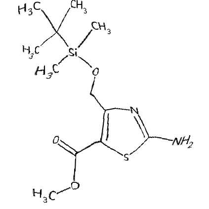 COC(=O)c1sc(N)nc1CO[Si](C)(C)C(C)(C)C